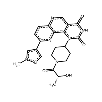 C[C@@H](O)C(=O)N1CCC(n2c(=O)[nH]c(=O)c3cnc4ccc(-c5cnn(C)c5)nc4c32)CC1